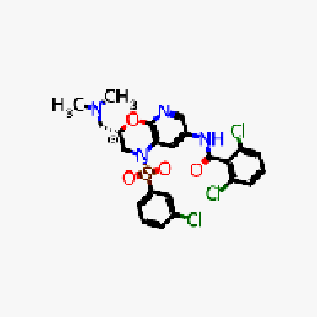 CN(C)C[C@H]1CN(S(=O)(=O)c2cccc(Cl)c2)c2cc(NC(=O)c3c(Cl)cccc3Cl)cnc2O1